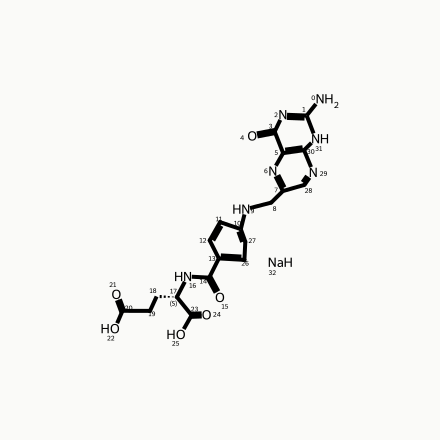 Nc1nc(=O)c2nc(CNc3ccc(C(=O)N[C@@H](CCC(=O)O)C(=O)O)cc3)cnc2[nH]1.[NaH]